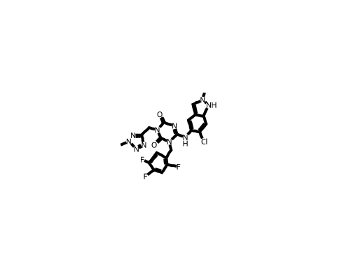 CN1C=C2C=C(Nc3nc(=O)n(Cc4nnn(C)n4)c(=O)n3Cc3cc(F)c(F)cc3F)C(Cl)=CC2N1